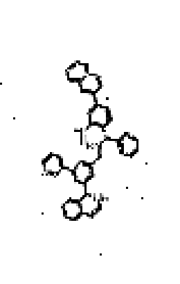 CNc1cc(-c2ccc3ccccc3c2)ccc1C(NCc1cc(-c2cccnc2)cc(C2NC=Cc3ccccc32)c1)c1ccccc1